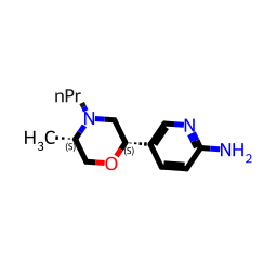 CCCN1C[C@H](c2ccc(N)nc2)OC[C@@H]1C